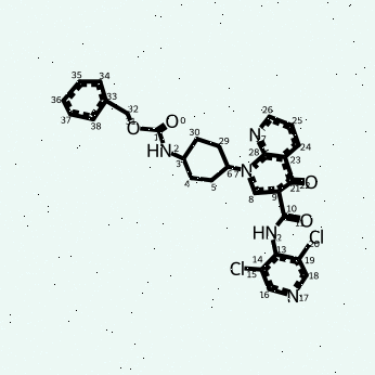 O=C(NC1CCC(n2cc(C(=O)Nc3c(Cl)cncc3Cl)c(=O)c3cccnc32)CC1)OCc1ccccc1